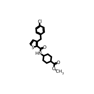 COC(=O)C1CCC(NC(=O)c2sccc2Cc2ccc(Cl)cc2)CC1